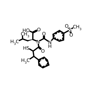 CC(C)C[C@@H](C(=O)O)N(C(=O)Nc1ccc(S(C)(=O)=O)cc1)C(=O)C(S)C(C)c1ccccc1